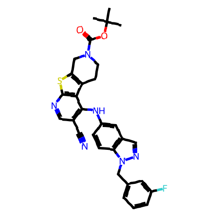 CC(C)(C)OC(=O)N1CCc2c(sc3ncc(C#N)c(Nc4ccc5c(cnn5Cc5cccc(F)c5)c4)c23)C1